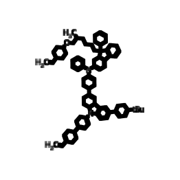 C=CC1=CCC(C2=CC=C(N3c4ccc(C5=CC=C(C(C)(C)C)CC5)cc4C4C=C(C5CC=C(N(C6=CC=C7C8=C(CCC=C8)C(CCCCC(C)COC8CCC(C=C)CC8)(C8CC=CCC8)C7C6)c6ccccc6)CC5)CCC43)CC2)CC1